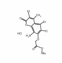 CCCCOC(=O)COc1c(Cl)c(CC)c2c(C)c(CC)c(=O)oc2c1N.Cl